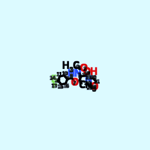 CC(=O)NC(C(C)OCC1CCC(F)(F)CC1)C(O)N1CCOCC1